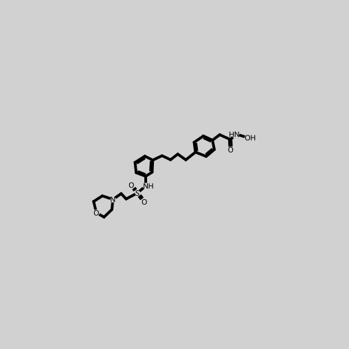 O=C(Cc1ccc(CCCCc2cccc(NS(=O)(=O)CCN3CCOCC3)c2)cc1)NO